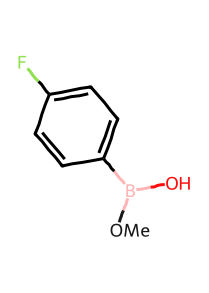 COB(O)c1ccc(F)cc1